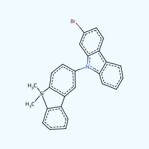 C[Si]1(C)c2ccccc2-c2cc(-n3c4ccccc4c4ccc(Br)cc43)ccc21